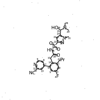 CC(C)c1cc(F)cc(-c2ccnc(C#N)c2)c1CC(=O)NS(=O)(=O)c1cc(C(O)N(C)C)n(C)n1